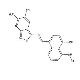 CCNc1cccc2c(/N=N/c3snc4nc(C)c(C#N)cc34)ccc(O)c12